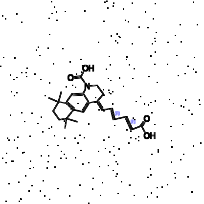 CC1(C)CCC(C)(C)c2cc3c(cc21)C(=C/C=C/C=C/C(=O)O)CCN3C(=O)O